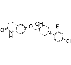 O=C1CCc2cc(OCC3(O)CCN(c4ccc(Cl)cc4F)CC3)ccc2N1